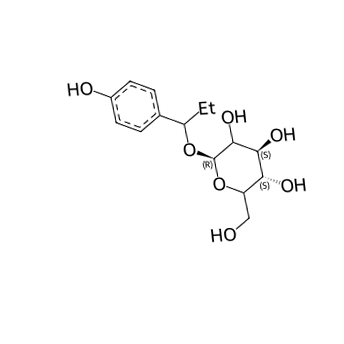 CCC(O[C@@H]1OC(CO)[C@@H](O)[C@H](O)C1O)c1ccc(O)cc1